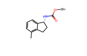 Cc1cccc2c1CC[C@H]2NC(=O)OC(C)(C)C